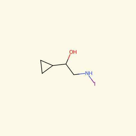 OC(CNI)C1CC1